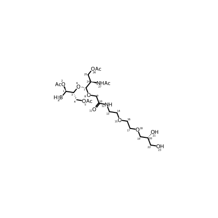 B[C@@H](OC(C)=O)[C@@H](COC(C)=O)O[C@@H](OCC(=O)NCCOCCOC[C@H](O)CO)[C@@H](COC(C)=O)NC(C)=O